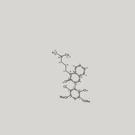 COc1cc(OC)c(Cl)c(-c2cc3cnccc3n(CCCN(C)C)c2=O)c1Cl